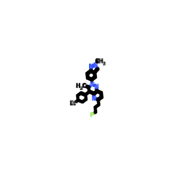 C=C1C(C2=CCC(CC)CC2)=c2nc(CCCF)ccc2=NN1c1ccc2nn(C)cc2c1